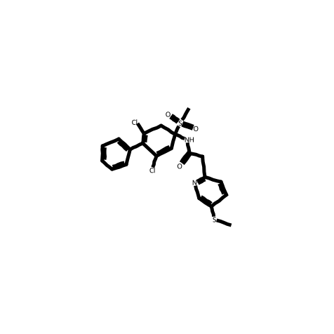 CSc1ccc(CC(=O)NC2(S(C)(=O)=O)C=C(Cl)C(c3ccccc3)=C(Cl)C2)nc1